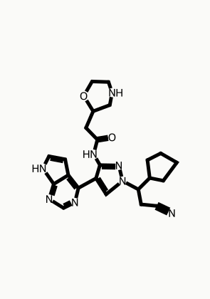 N#CCC(C1CCCC1)n1cc(-c2ncnc3[nH]ccc23)c(NC(=O)CC2CNCCO2)n1